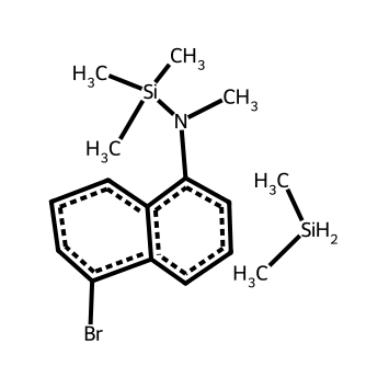 CN(c1cccc2c(Br)cccc12)[Si](C)(C)C.C[SiH2]C